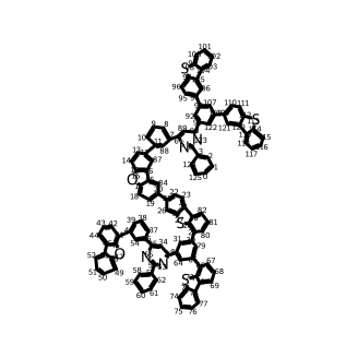 c1ccc(-c2nc(-c3cccc(-c4ccc5oc6ccc(-c7ccc8c(c7)sc7c(-c9cc(-c%10cc(-c%11cccc(-c%12cccc%13c%12oc%12ccccc%12%13)c%11)nc(-c%11ccccc%11)n%10)cc(-c%10cccc%11c%10sc%10ccccc%10%11)c9)cccc78)cc6c5c4)c3)cc(-c3cc(-c4ccc5sc6ccccc6c5c4)cc(-c4ccc5sc6ccccc6c5c4)c3)n2)cc1